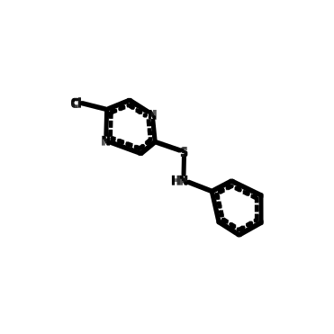 Clc1cnc(SNc2ccccc2)cn1